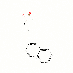 O=S(=O)(F)CCOc1ccc2ccccc2c1